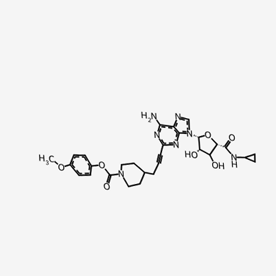 COc1ccc(OC(=O)N2CCC(CC#Cc3nc(N)c4ncn([C@@H]5O[C@H](C(=O)NC6CC6)C(O)[C@@H]5O)c4n3)CC2)cc1